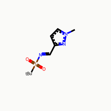 Cn1ccc(C=NS(=O)(=O)C(C)(C)C)n1